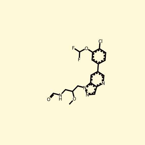 COC(CNC=O)Cn1ncc2ncc(-c3ccc(Cl)c(OC(F)F)c3)cc21